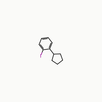 Ic1ccccc1C1CCCC1